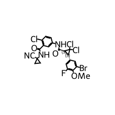 COc1c(F)cc([C@@H]2[C@@H](C(=O)Nc3ccc(Cl)c(C(=O)NC4(C#N)CC4)c3)C2(Cl)Cl)cc1Br